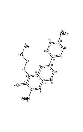 CCCOCCn1c(=O)c(NC)nc2ncc(-c3ccc(OC)nc3)cc21